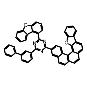 c1ccc(-c2cccc(-c3nc(-c4ccc5c(ccc6ccc7ccc8c9ccccc9oc8c7c65)c4)nc(-c4cccc5oc6ccccc6c45)n3)c2)cc1